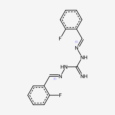 N=C(N/N=C/c1ccccc1F)N/N=C/c1ccccc1F